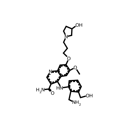 COc1cc2c(Nc3cccc(CO)c3CN)c(C(N)=O)cnc2cc1OCCCN1CCC(O)C1